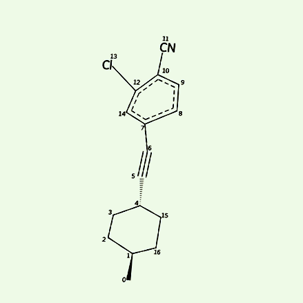 C[C@H]1CC[C@H](C#Cc2ccc(C#N)c(Cl)c2)CC1